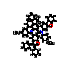 CC(C)(C)c1ccc(N2B3c4cc5oc(-c6ccccc6)c(-c6ccccc6)c5cc4N(c4ccc(C(C)(C)C)cc4-c4ccccc4)c4cc5c(c(c43)-c3cc4c(cc32)oc2ccccc24)C(C)(C)c2ccccc2-5)cc1